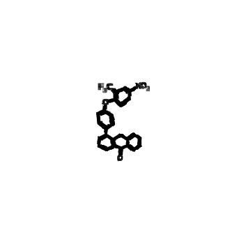 O=C1c2ccccc2Cc2c1cccc2-c1ccc(Oc2ccc([N+](=O)[O-])cc2C(F)(F)F)cc1